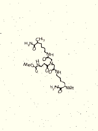 CNC(CCCCNC(=O)CN(CC(=O)NCCCCC(C)C(N)=O)C(=O)CCNC(=O)OC)C(N)=O